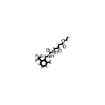 CCOC(=O)CC(=O)CNC(=O)NCc1c(F)cccc1C(F)(F)F